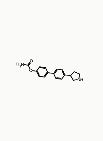 NC(=O)Oc1ccc(-c2ccc(C3CCNC3)cc2)cc1